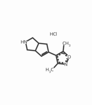 Cc1noc(C)c1C1=CC2CNCC2C1.Cl